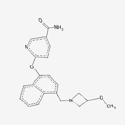 COC1CN(Cc2ccc(Oc3ccc(C(N)=O)cn3)c3ccccc23)C1